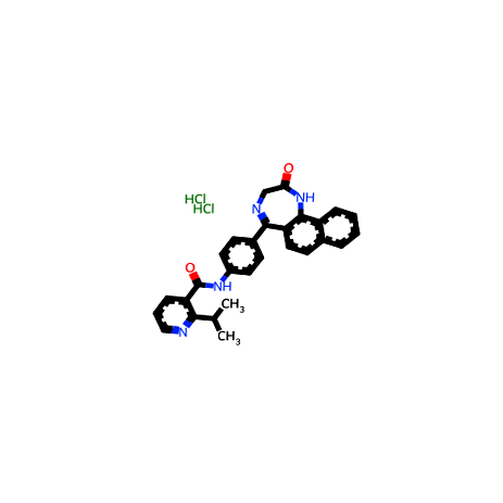 CC(C)c1ncccc1C(=O)Nc1ccc(C2=NCC(=O)Nc3c2ccc2ccccc32)cc1.Cl.Cl